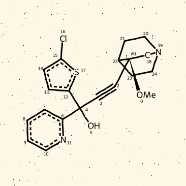 CO[C@]1(C#CC(O)(c2ccccn2)c2ccc(Cl)s2)CN2CCC1CC2